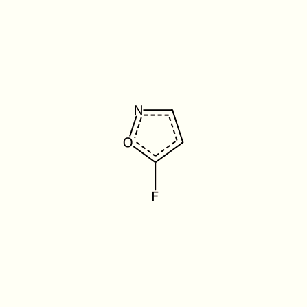 Fc1ccno1